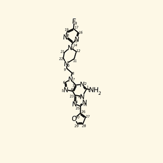 Nc1nc2c(ncn2CCN2CCN(c3ncc(F)cn3)CC2)c2nc(-c3ccco3)nn12